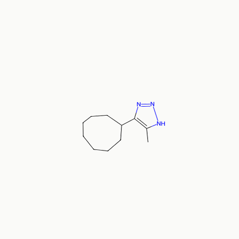 Cc1[nH]nnc1C1CCCCCCC1